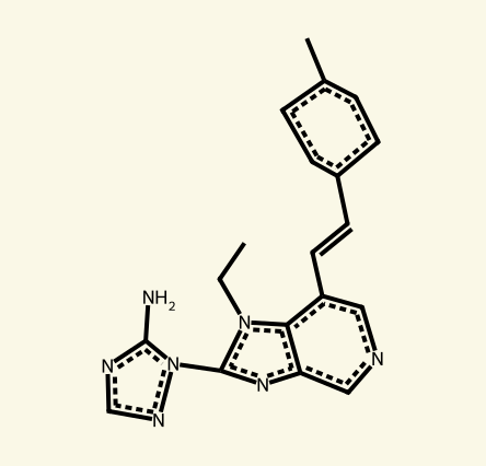 CCn1c(-n2ncnc2N)nc2cncc(C=Cc3ccc(C)cc3)c21